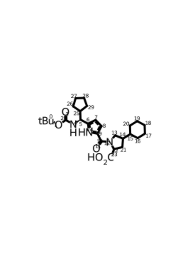 CC(C)(C)OC(=O)N[C@H](c1ccc(C(=O)N2CC(C3CCCCC3)CC2C(=O)O)[nH]1)C1CCCC1